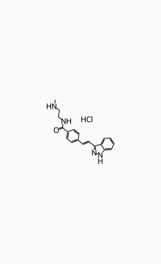 CNCCNC(=O)c1ccc(/C=C/c2n[nH]c3ccccc23)cc1.Cl